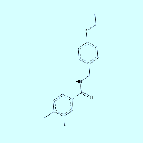 CCSc1ccc(CNC(=O)c2ccc(C)c(F)c2)cc1